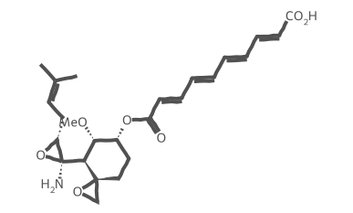 CO[C@@H]1[C@H](OC(=O)/C=C/C=C/C=C/C=C/C(=O)O)CC[C@]2(CO2)[C@H]1[C@@]1(N)O[C@@H]1CC=C(C)C